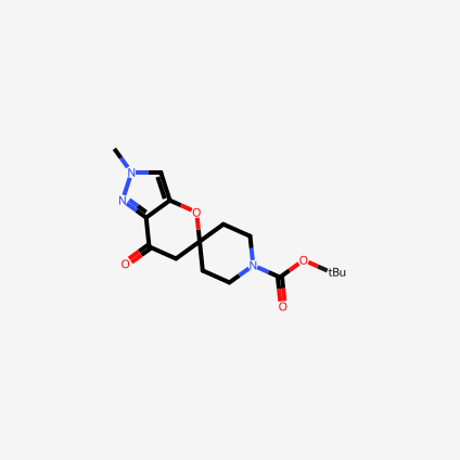 Cn1cc2c(n1)C(=O)CC1(CCN(C(=O)OC(C)(C)C)CC1)O2